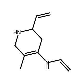 C=CNC1=C(C)CNC(C=C)C1